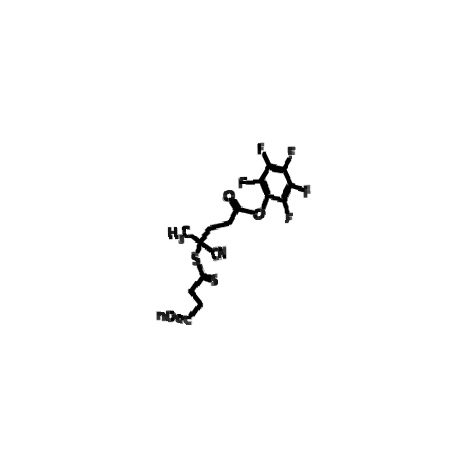 CCCCCCCCCCCCC(=S)SC(C)(C#N)CCC(=O)Oc1c(F)c(F)c(F)c(F)c1F